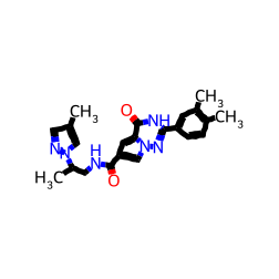 Cc1cnn(C(C)CNC(=O)c2cc3c(=O)[nH]c(-c4ccc(C)c(C)c4)nn3c2)c1